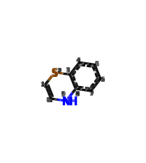 [C]1=[C]Sc2ccccc2N1